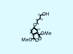 COC(=O)c1ccc(OCCCCO)cc1C(=O)OC